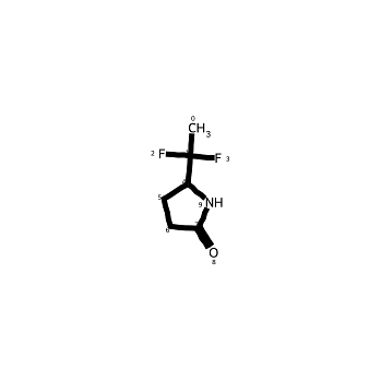 CC(F)(F)C1CCC(=O)N1